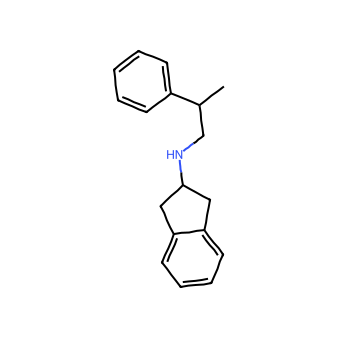 CC(CNC1Cc2ccccc2C1)c1ccccc1